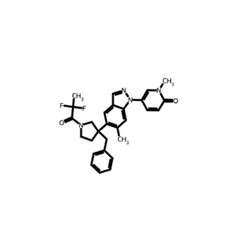 Cc1cc2c(cnn2-c2ccc(=O)n(C)c2)cc1C1(Cc2ccccc2)CCN(C(=O)C(C)(F)F)C1